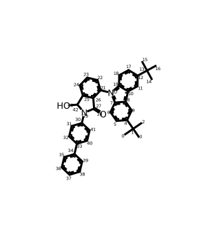 CC(C)(C)c1ccc2c(c1)c1cc(C(C)(C)C)ccc1n2-c1cccc2c1C(=O)N(c1ccc(-c3ccccc3)cc1)C2O